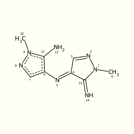 CN1N=CC(=Nc2cnn(C)c2N)C1=N